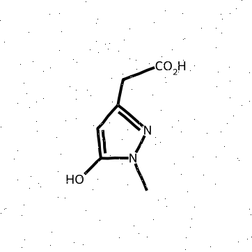 Cn1nc(CC(=O)O)cc1O